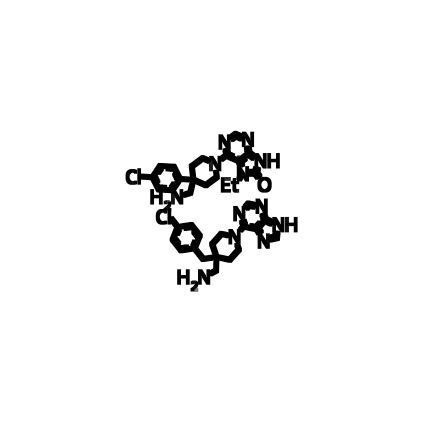 CCn1c(=O)[nH]c2ncnc(N3CCC(CN)(c4ccc(Cl)cc4)CC3)c21.NCC1(Cc2ccc(Cl)cc2)CCN(c2ncnc3[nH]cnc23)CC1